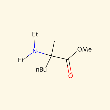 CCCCC(C)(C(=O)OC)N(CC)CC